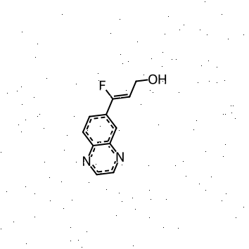 OCC=C(F)c1ccc2nccnc2c1